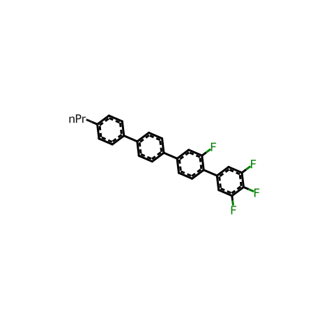 CCCc1ccc(-c2ccc(-c3ccc(-c4cc(F)c(F)c(F)c4)c(F)c3)cc2)cc1